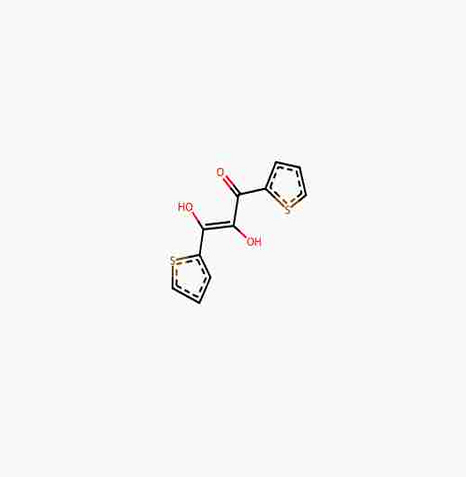 O=C(C(O)=C(O)c1cccs1)c1cccs1